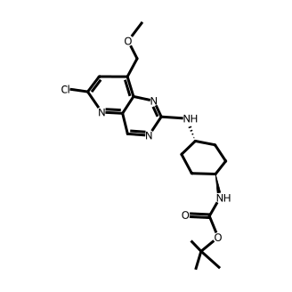 COCc1cc(Cl)nc2cnc(N[C@H]3CC[C@H](NC(=O)OC(C)(C)C)CC3)nc12